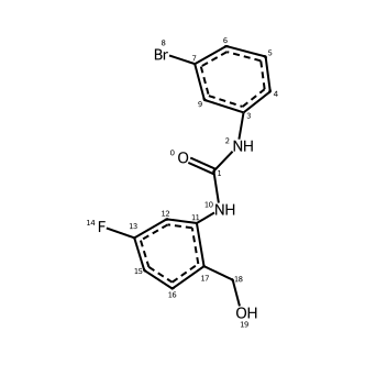 O=C(Nc1cccc(Br)c1)Nc1cc(F)ccc1CO